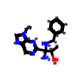 CC(C)n1cnc2cnc(C(N)(NCc3ccccc3)C(C)O)nc21